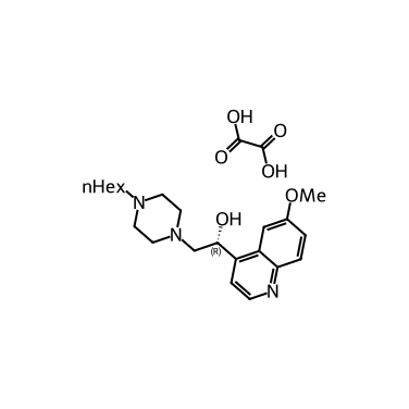 CCCCCCN1CCN(C[C@H](O)c2ccnc3ccc(OC)cc23)CC1.O=C(O)C(=O)O